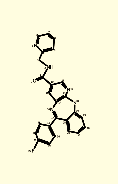 O=C(NCc1ccccn1)c1cnc2c(c1)N=C(c1ccc(F)cc1)c1ccccc1S2